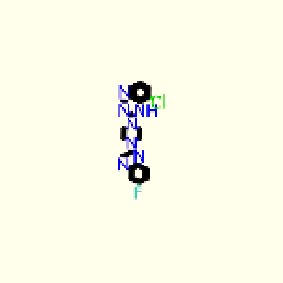 N#CN=C(Nc1ccccc1Cl)N1CCN(c2cnc3cc(F)ccc3n2)CC1